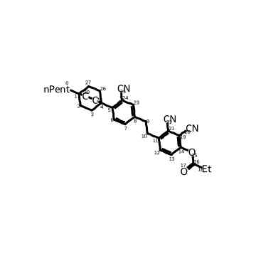 CCCCCC12CCC(c3ccc(CCc4ccc(OC(=O)CC)c(C#N)c4C#N)cc3C#N)(CC1)CC2